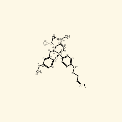 C=CCCOc1ccc(S(=O)(=O)N(Cc2cccc(OC)c2)[C@@H](C(=O)NO)C(C)C)cc1